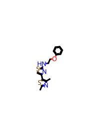 Cc1nc(C)c(-c2csc(NCCOc3ccccc3)n2)s1